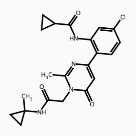 Cc1nc(-c2ccc(Cl)cc2NC(=O)C2CC2)cc(=O)n1CC(=O)NC1(C)CC1